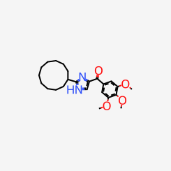 COc1cc(C(=O)c2c[nH]c(C3CCCCCCCCCC3)n2)cc(OC)c1OC